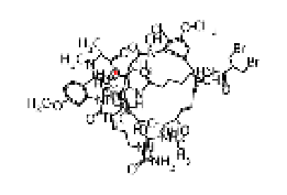 COc1ccc(C(=O)N(C)[C@@H](C)C(=O)O[C@H]2CC(=O)N(C)c3cc(cc(OC)c3Cl)C/C(C)=C/C=C/[C@@H](OC)[C@@]3(O)C[C@H](OC(=O)N3)[C@@H](C)[C@@H]3O[C@@]23C)c(NC(=O)[C@H](CCCNC(N)=O)NC(=O)[C@@H](NC(=O)CCCCCNC(=O)C(CBr)CBr)C(C)C)c1